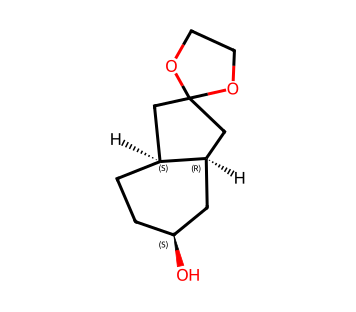 O[C@H]1CC[C@H]2CC3(C[C@H]2C1)OCCO3